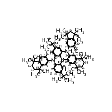 Cc1cc2c(cc1N1c3ccc(C(C)(C)C)cc3B3c4cc5c(cc4N(c4cc6c(cc4C)C(C)(C)CC6(C)C)c4cc(C(C)(C)C)cc1c43)C(C)(C)CCC5(C)C)C(C)(C)CCC2(C)C